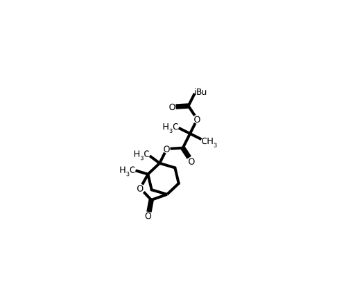 CCC(C)C(=O)OC(C)(C)C(=O)OC1(C)CCC2CC1(C)OC2=O